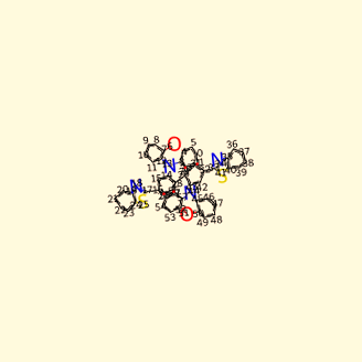 c1ccc2c(c1)Oc1ccccc1N2c1cc(-c2nc3ccccc3s2)ccc1-c1ccc(-c2nc3ccccc3s2)cc1N1c2ccccc2Oc2ccccc21